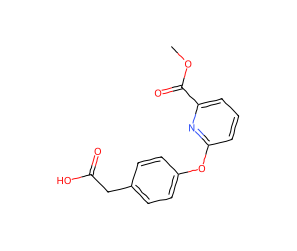 COC(=O)c1cccc(Oc2ccc(CC(=O)O)cc2)n1